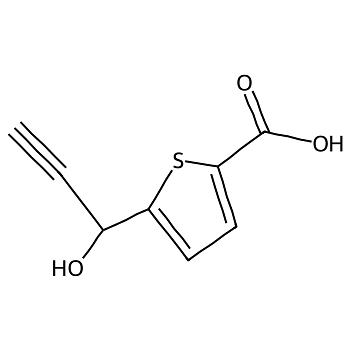 C#CC(O)c1ccc(C(=O)O)s1